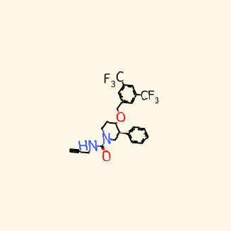 C#CCNC(=O)N1CC[C@@H](OCc2cc(C(F)(F)F)cc(C(F)(F)F)c2)[C@@H](c2ccccc2)C1